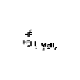 F.F.F.[MgH2]